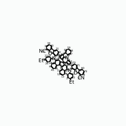 CCc1ccc(N(c2cc3c(c4ccccc24)-c2c(cc(N(c4ccc(CC)cc4)c4cccc5c4oc4c(C#N)cccc45)c4ccccc24)C32c3ccccc3-n3c4ccccc4c4cccc2c43)c2cccc3c2oc2c(C#N)cccc23)cc1